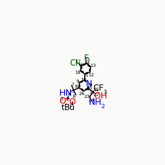 CC(C)(C)OC(=O)NC(C)(C)c1cc(-c2ccc(F)c(Cl)c2)nc(C(O)(CN)C(F)(F)F)c1